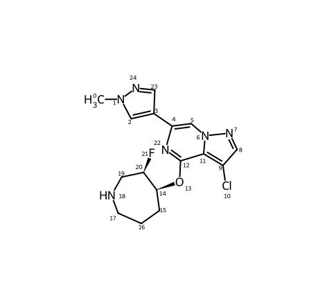 Cn1cc(-c2cn3ncc(Cl)c3c(O[C@H]3CCCNC[C@H]3F)n2)cn1